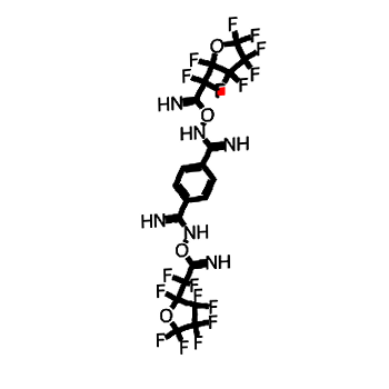 N=C(NOC(=N)C(F)(F)C1(F)OC(F)(F)C(F)(F)C1(F)F)c1ccc(C(=N)NOC(=N)C(F)(F)C2(F)OC(F)(F)C(F)(F)C2(F)F)cc1